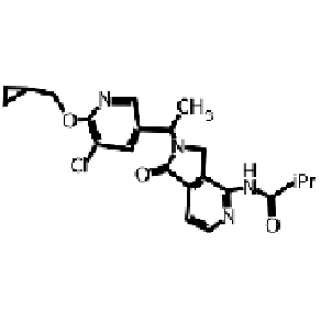 CC(C)C(=O)Nc1nccc2c1CN(C(C)c1cnc(OCC3CC3)c(Cl)c1)C2=O